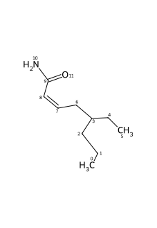 CCCC(CC)C/C=C\C(N)=O